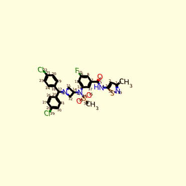 Cc1cc(NC(=O)c2cc(F)cc(N(C3CN(C(c4ccc(Cl)cc4)c4ccc(Cl)cc4)C3)S(C)(=O)=O)c2)sn1